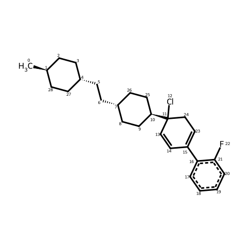 C[C@H]1CC[C@H](CC[C@H]2CC[C@H](C3(Cl)C=CC(c4ccccc4F)=CC3)CC2)CC1